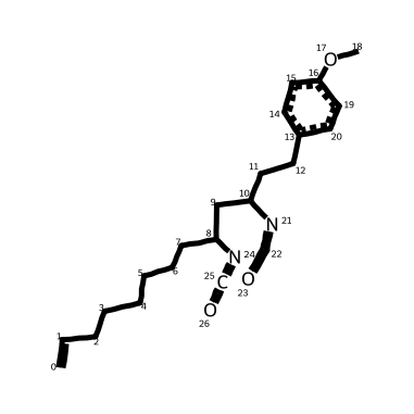 C=CCCCCCCC(CC(CCc1ccc(OC)cc1)N=C=O)N=C=O